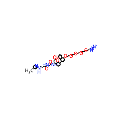 Cc1ccnc(NCCCC(=O)NCC(=O)NC(CC(=O)O)c2cccc(-c3ccc(OCCOCCOCCOCCOCCN=[N+]=[N-])c4ccccc34)c2)c1